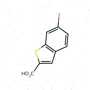 O=C(O)c1cc2ccc(I)cc2s1